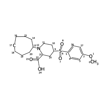 COc1ccc(S(=O)(=O)C2CCN(C3CCCCCCC3)C(C(=O)O)C2)cc1